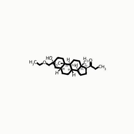 CCOC[C@@]1(O)CC[C@@]2(C)[C@H](CC[C@@H]3[C@@H]2CC[C@]2(C)[C@@H](C(=O)CC)CC[C@@H]32)C1